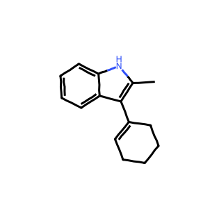 Cc1[nH]c2ccccc2c1C1=CCCCC1